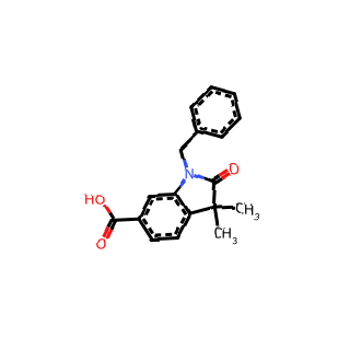 CC1(C)C(=O)N(Cc2ccccc2)c2cc(C(=O)O)ccc21